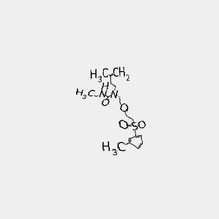 C=C(C)CCN(CCOCCS(=O)(=O)c1cccc(C)c1)C(=O)NCC